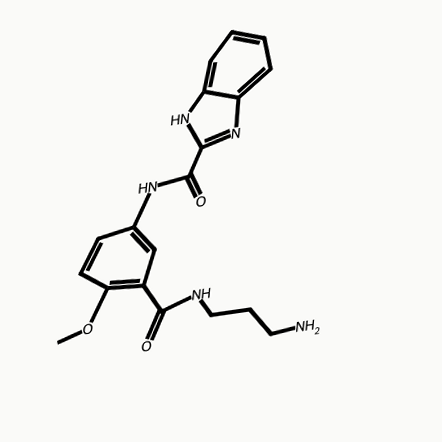 COc1ccc(NC(=O)c2nc3ccccc3[nH]2)cc1C(=O)NCCCN